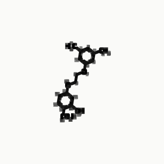 Cc1cc(C)cc(OCCOc2ccc(C(=O)O)c(O)c2)c1